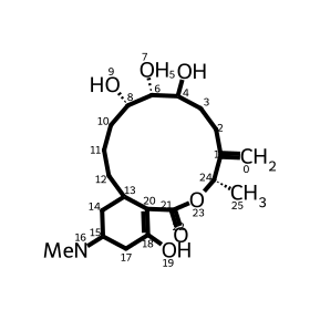 C=C1CCC(O)[C@@H](O)[C@@H](O)CCCC2CC(NC)CC(O)=C2C(=O)O[C@H]1C